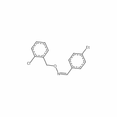 CCc1ccc(/[C]=N\OCc2ccccc2Cl)cc1